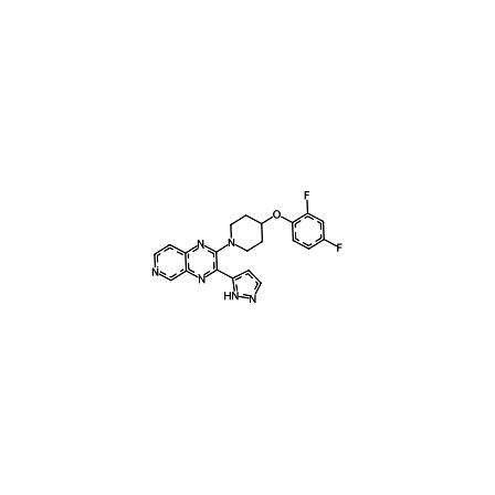 Fc1ccc(OC2CCN(c3nc4ccncc4nc3-c3ccn[nH]3)CC2)c(F)c1